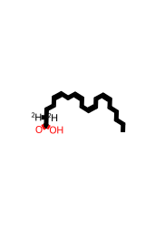 [2H]C([2H])(CC/C=C\C/C=C\C/C=C\C/C=C\CCCCC)C(=O)O